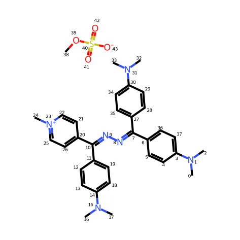 CN(C)c1ccc(C(=N/N=C(\c2ccc(N(C)C)cc2)c2cc[n+](C)cc2)c2ccc(N(C)C)cc2)cc1.COS(=O)(=O)[O-]